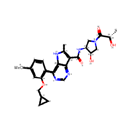 COc1ccc(-c2ncnc3c(C(=O)N[C@H]4CN(C(=O)[C@H](C)O)C[C@H]4O)c(C)[nH]c23)c(OCC2CC2)c1